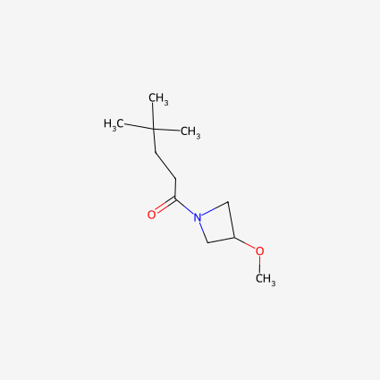 COC1CN(C(=O)CCC(C)(C)C)C1